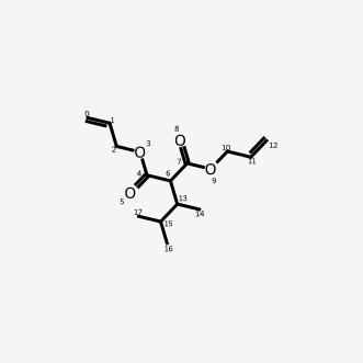 C=CCOC(=O)C(C(=O)OCC=C)C(C)C(C)C